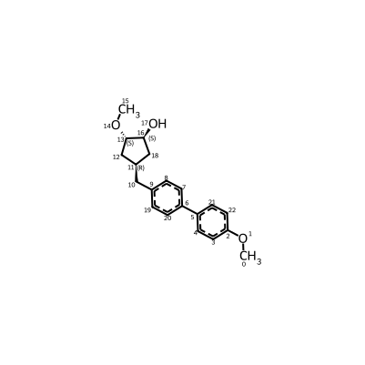 COc1ccc(-c2ccc(C[C@H]3C[C@H](OC)[C@@H](O)C3)cc2)cc1